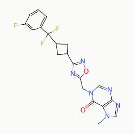 Cn1cnc2ncn(Cc3nc(C4CC(C(F)(F)c5cccc(F)c5)C4)no3)c(=O)c21